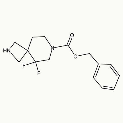 O=C(OCc1ccccc1)N1CCC2(CNC2)C(F)(F)C1